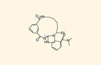 CCC1CCCCNC(=O)c2cccc(c2)C(=O)/N=C2\Nc3cccc(C(=O)N(C)C)c3N21